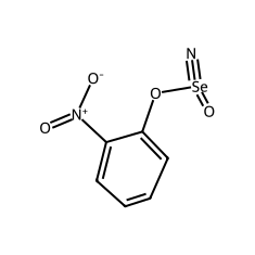 N#[Se](=O)Oc1ccccc1[N+](=O)[O-]